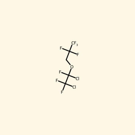 FC(F)(F)C(F)(F)COC(F)(Cl)C(F)(F)Cl